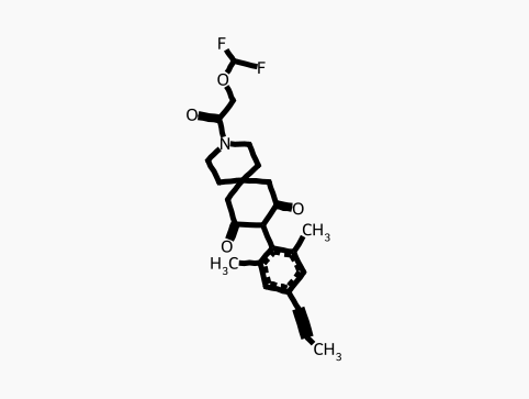 CC#Cc1cc(C)c(C2C(=O)CC3(CCN(C(=O)COC(F)F)CC3)CC2=O)c(C)c1